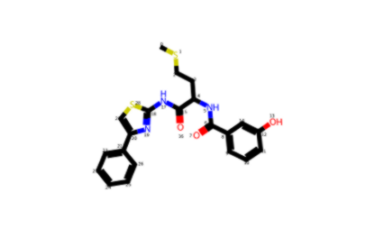 CSCCC(NC(=O)c1cccc(O)c1)C(=O)Nc1nc(-c2ccccc2)cs1